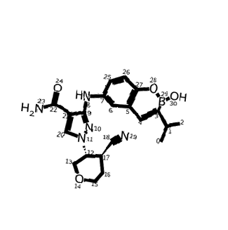 CC(C)C1=Cc2cc(Nc3nn([C@H]4COCC[C@@H]4C#N)cc3C(N)=O)ccc2OB1O